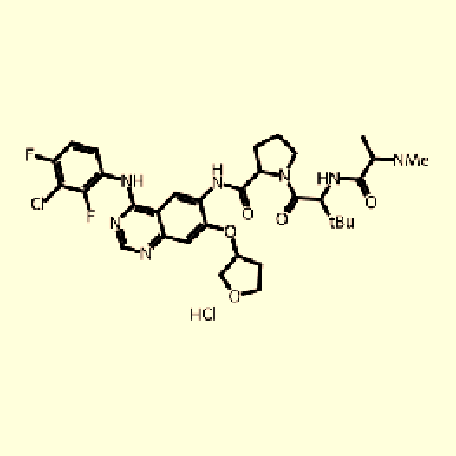 CNC(C)C(=O)NC(C(=O)N1CCCC1C(=O)Nc1cc2c(Nc3ccc(F)c(Cl)c3F)ncnc2cc1OC1CCOC1)C(C)(C)C.Cl